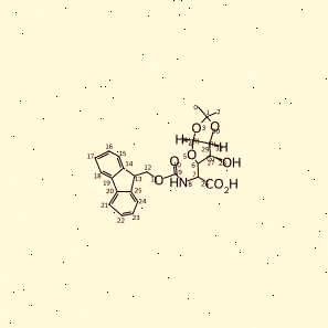 CC1(C)O[C@H]2OC(C(NC(=O)OCC3c4ccccc4-c4ccccc43)C(=O)O)[C@H](O)[C@H]2O1